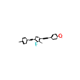 COc1ccc(C#Cc2ccc(C#Cc3ccc(C)cc3)c(F)c2C)cc1